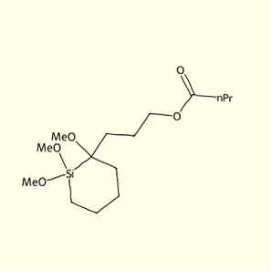 CCCC(=O)OCCCC1(OC)CCCC[Si]1(OC)OC